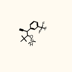 C#CC(c1cccc(C(F)(F)F)c1)C(O[SiH](C)C)C(C)(C)C